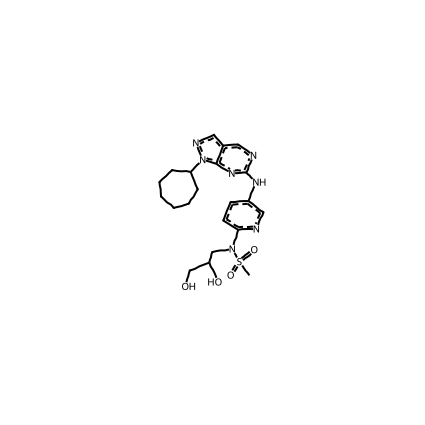 CS(=O)(=O)N(CC(O)CO)c1ccc(Nc2ncc3cnn(C4CCCCCC4)c3n2)cn1